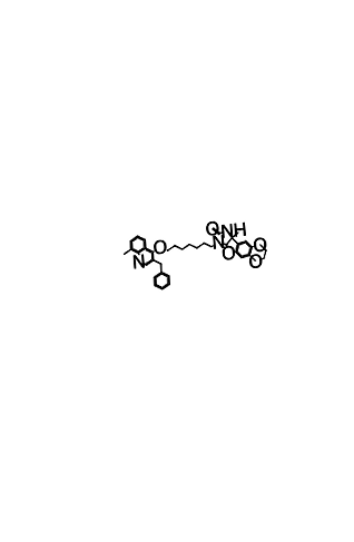 Cc1cccc2c(OCCCCCCCN3C(=O)NC(C)(c4ccc5c(c4)OCCO5)C3=O)c(Cc3ccccc3)cnc12